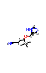 C[Si](C)(C)C(CCC#N)OCc1cnc[nH]1